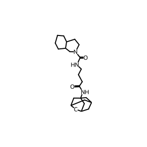 O=C(CCCNC(=O)N1CCC2CCCCC2C1)NC12CC3CC(CC(C3)C1)C2